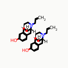 C=CCN1CC[C@]23CCCC[C@H]2[C@H]1Cc1ccc(O)cc13.C=CCN1CC[C@]23CCCC[C@H]2[C@H]1Cc1ccc(O)cc13